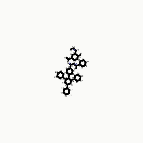 C=C(/N=C(\C=C(/C)c1ccccc1)c1ccc(-c2c(-c3ccccc3)cc(-c3ccccc3)cc2-c2ccccc2)cc1)c1ccc(C)c(/C=C\C)c1